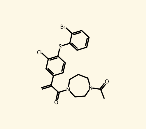 C=C(C(=O)N1CCCN(C(C)=O)CC1)c1ccc(Sc2ccccc2Br)c(Cl)c1